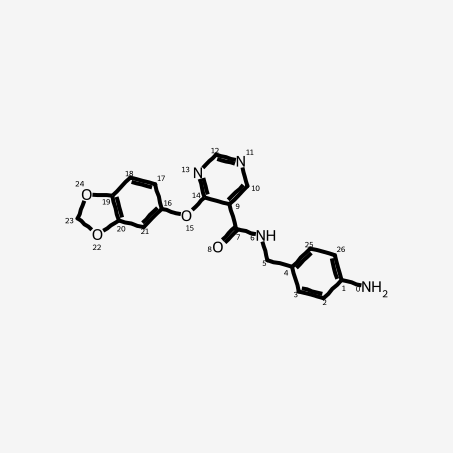 Nc1ccc(CNC(=O)c2cncnc2Oc2ccc3c(c2)OCO3)cc1